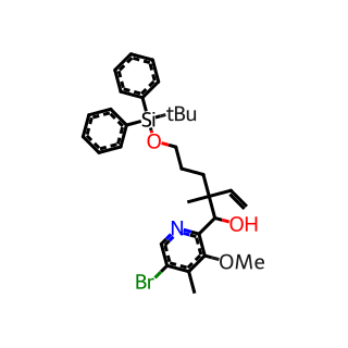 C=CC(C)(CCCO[Si](c1ccccc1)(c1ccccc1)C(C)(C)C)C(O)c1ncc(Br)c(C)c1OC